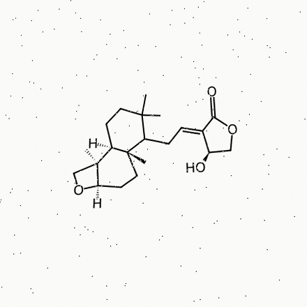 CC1(C)CC[C@@H]2[C@]3(C)CO[C@@H]3CC[C@@]2(C)C1C/C=C1/C(=O)OC[C@H]1O